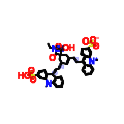 CCNC(=O)C1(C(=O)O)CC(/C=C/c2c3ccccc3[n+](C)c3cc(S(=O)(=O)[O-])ccc23)=CC(=C/C=C2\c3ccccc3N(C)c3cc(S(=O)(=O)O)ccc32)/C1